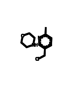 C1COCCN1.Cc1ccc(CCl)cn1